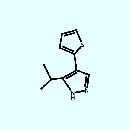 CC(C)c1[nH]ncc1-c1cccs1